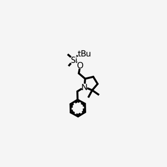 CC1(C)CCC(CO[Si](C)(C)C(C)(C)C)N1Cc1ccccc1